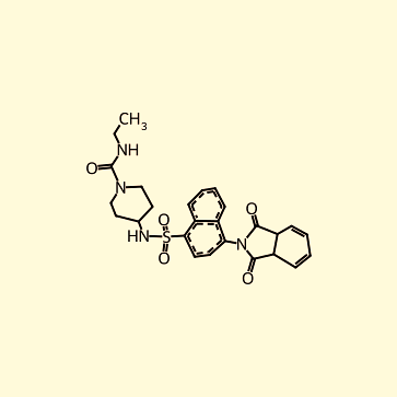 CCNC(=O)N1CCC(NS(=O)(=O)c2ccc(N3C(=O)C4C=CC=CC4C3=O)c3ccccc23)CC1